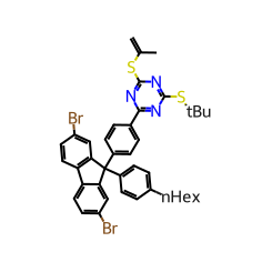 C=C(C)Sc1nc(SC(C)(C)C)nc(-c2ccc(C3(c4ccc(CCCCCC)cc4)c4cc(Br)ccc4-c4ccc(Br)cc43)cc2)n1